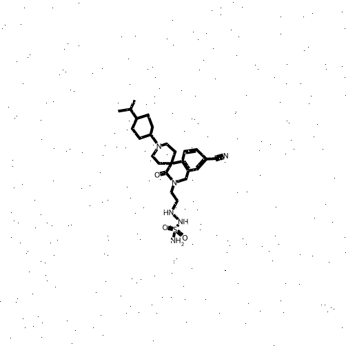 CC(C)C1CCC(N2CCC3(CC2)C(=O)N(CCNNS(N)(=O)=O)Cc2cc(C#N)ccc23)CC1